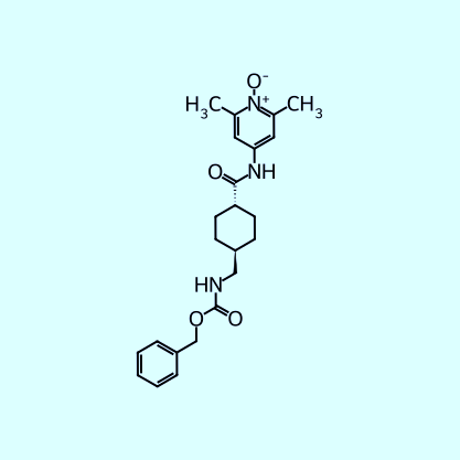 Cc1cc(NC(=O)[C@H]2CC[C@H](CNC(=O)OCc3ccccc3)CC2)cc(C)[n+]1[O-]